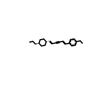 CCC[C@H]1CC[C@H](/C=C/C#C/C=C/c2ccc(CC)cc2)CC1